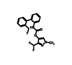 Cn1cc(OC(=O)Nc2ccccc2-c2ccccc2CF)c(C(F)F)n1